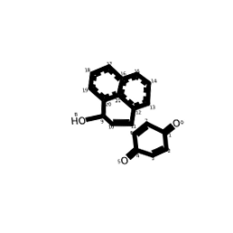 O=C1C=CC(=O)C=C1.OC1C=Cc2cccc3cccc1c23